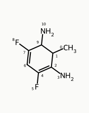 CC1C(N)=C(F)C=C(F)C1N